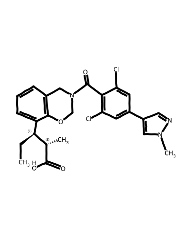 CC[C@@H](c1cccc2c1OCN(C(=O)c1c(Cl)cc(-c3cnn(C)c3)cc1Cl)C2)[C@H](C)C(=O)O